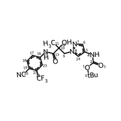 CC(C)(C)OC(=O)Nc1cnn(CC(C)(O)C(=O)Nc2ccc(C#N)c(C(F)(F)F)c2)c1